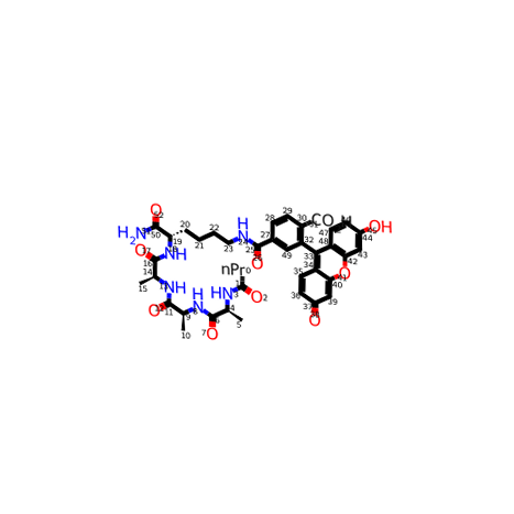 CCCC(=O)N[C@@H](C)C(=O)N[C@@H](C)C(=O)N[C@@H](C)C(=O)N[C@@H](CCCCNC(=O)c1ccc(C(=O)O)c(-c2c3ccc(=O)cc-3oc3cc(O)ccc23)c1)C(N)=O